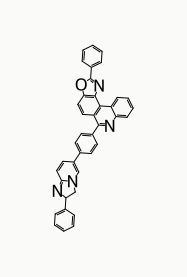 C1=CC2=NC(c3ccccc3)CN2C=C1c1ccc(-c2nc3ccccc3c3c2ccc2oc(-c4ccccc4)nc23)cc1